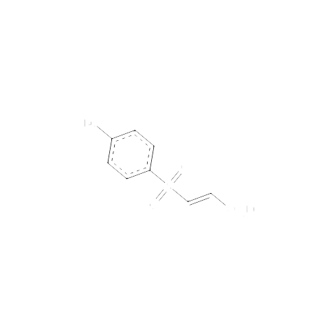 CCOC(=O)/C=C/S(=O)(=O)c1ccc(C(C)(C)C)cc1